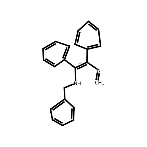 C=N/C(=C(\NCc1ccccc1)c1ccccc1)c1ccccc1